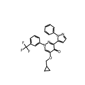 O=c1c(OCC2CC2)cn(-c2cccc(C(F)(F)F)c2)nc1-c1ccnn1-c1ccccc1